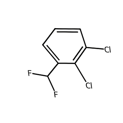 FC(F)c1cccc(Cl)c1Cl